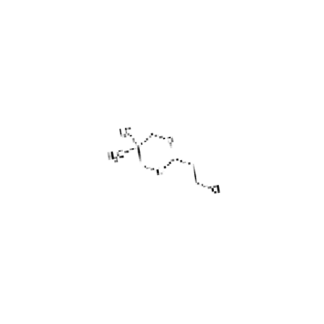 CC1(C)COC(CCCl)OC1